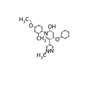 CCOc1ccc(N2C=C(c3cnn(C)c3)C(Oc3ccccc3)=CC2O)c(C)c1